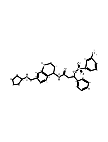 O=C(CC(NS(=O)(=O)c1cccc(C(F)(F)F)c1)c1ccccc1)NC1CCOc2cc(CNC3CCCC3)ccc21